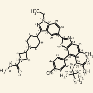 CCn1nc(C2CCN(C3CN(C(=O)OC)C3)CC2)c2cc(-c3nc4cc(C)c([C@H](OC(C)(C)C)C(=O)O)c(-c5ccc(Cl)cc5)c4s3)ccc21